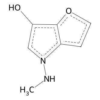 CNn1cc(O)c2occc21